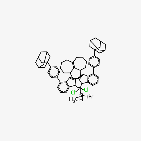 CCC[SiH](C)[Zr]([Cl])([Cl])([CH]1C(CC2CCCCCC2)=Cc2c(-c3ccc(C45CC6CC(CC(C6)C4)C5)cc3)cccc21)[CH]1C(CC2CCCCCC2)=Cc2c(-c3ccc(C45CC6CC(CC(C6)C4)C5)cc3)cccc21